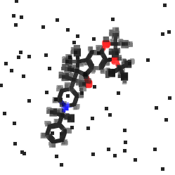 [2H]C([2H])([2H])Oc1cc2c(cc1OC([2H])([2H])[2H])C([2H])([2H])C([2H])(C([2H])([2H])C1CCN(C([2H])([2H])c3ccccc3)CC1)C2=O